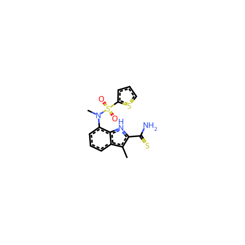 Cc1c(C(N)=S)[nH]c2c(N(C)S(=O)(=O)c3cccs3)cccc12